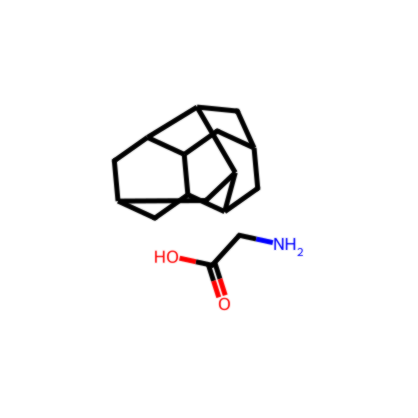 C1C2CC3C4CC5CC(C14)C(C2)C3C5.NCC(=O)O